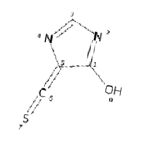 OC1=NC=NC1=C=S